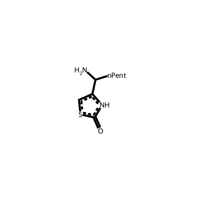 CCCCCC(N)c1csc(=O)[nH]1